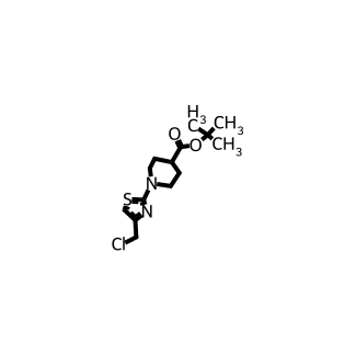 CC(C)(C)OC(=O)C1CCN(c2nc(CCl)cs2)CC1